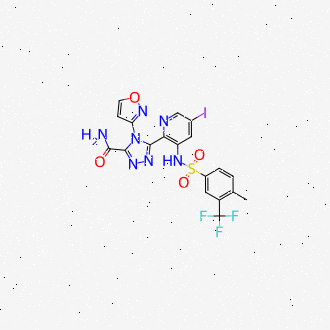 Cc1ccc(S(=O)(=O)Nc2cc(I)cnc2-c2nnc(C(N)=O)n2-c2ccon2)cc1C(F)(F)F